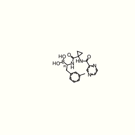 Cc1cccc(C[C@H](NC(=O)C2(NC(=O)c3cnccn3)CC2)B(O)O)c1